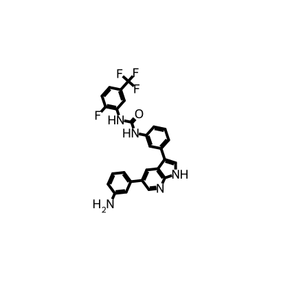 Nc1cccc(-c2cnc3[nH]cc(-c4cccc(NC(=O)Nc5cc(C(F)(F)F)ccc5F)c4)c3c2)c1